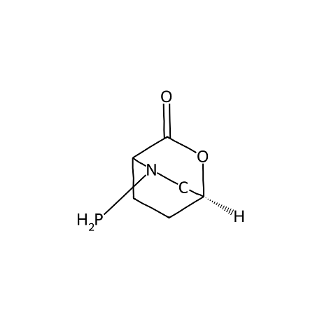 O=C1O[C@H]2CCC1N(P)C2